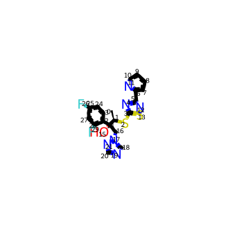 C[C@@H](Sc1nc(-c2ccccn2)ns1)C(O)(Cn1cncn1)c1ccc(F)cc1F